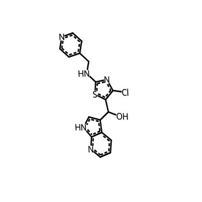 OC(c1sc(NCc2ccncc2)nc1Cl)c1c[nH]c2ncccc12